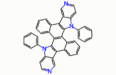 c1ccc(-n2c3ccncc3c3c4ccccc4c4c(c5ccccc5c5c6cnccc6n(-c6ccccc6)c54)c32)cc1